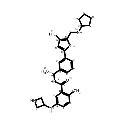 Cc1ccc(NC2CNC2)cc1C(=O)N[C@H](C)c1cccc(-c2cc(C)c(CNC3CCCC3)s2)c1